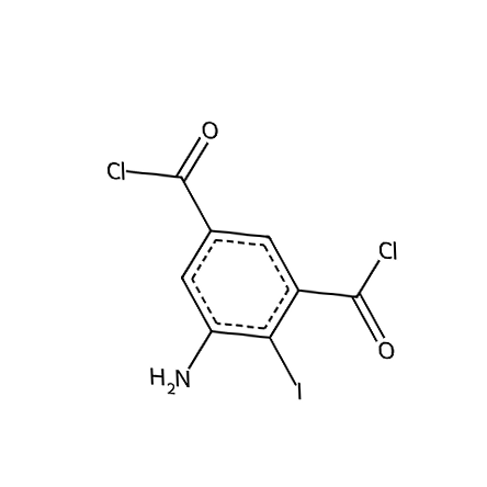 Nc1cc(C(=O)Cl)cc(C(=O)Cl)c1I